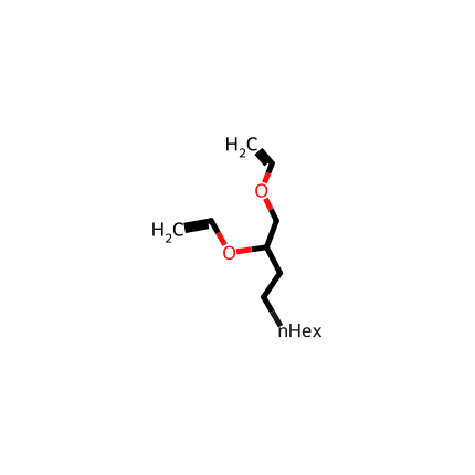 C=COCC(CCCCCCCC)OC=C